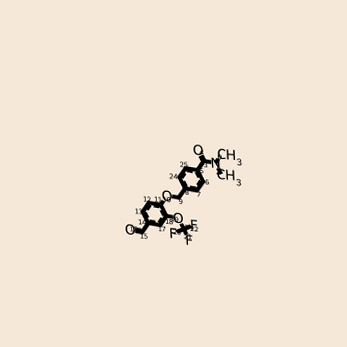 CN(C)C(=O)c1ccc(COc2ccc(C=O)cc2OC(F)(F)F)cc1